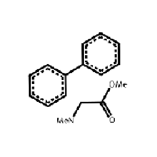 CNCC(=O)OC.c1ccc(-c2ccccc2)cc1